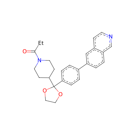 CCC(=O)N1CCC(C2(c3ccc(-c4ccc5cnccc5c4)cc3)OCCO2)CC1